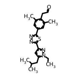 CCn1nc(-c2nnc(-c3cc(C)c(CC=O)c(C)c3)s2)cc1CC(C)C